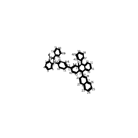 CN1c2ccccc2N(c2ccc(C3=CC4(C)C(=C(c5ccc6ccccc6c5)c5ccccc5C4c4ccccc4)C=C3)cc2)C1c1ccccc1